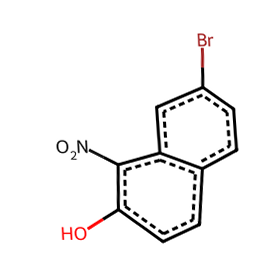 O=[N+]([O-])c1c(O)ccc2ccc(Br)cc12